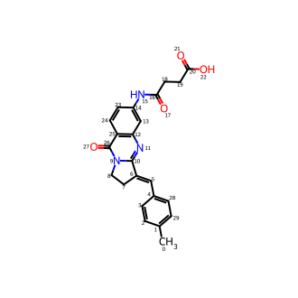 Cc1ccc(C=C2CCn3c2nc2cc(NC(=O)CCC(=O)O)ccc2c3=O)cc1